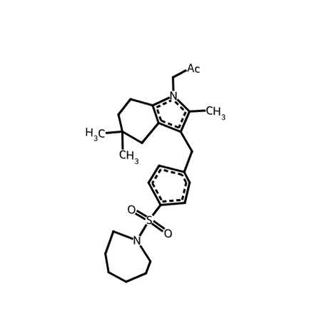 CC(=O)Cn1c(C)c(Cc2ccc(S(=O)(=O)N3CCCCCC3)cc2)c2c1CCC(C)(C)C2